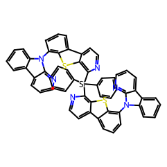 c1ccc([Si](c2ccccc2)(c2nccc3c2sc2c(-n4c5ccccc5c5cccnc54)cccc23)c2nccc3c2sc2c(-n4c5ccccc5c5cccnc54)cccc23)cc1